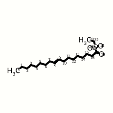 CCCCCCCCC=CCCCCCCCC(=O)S(=O)(=O)CC